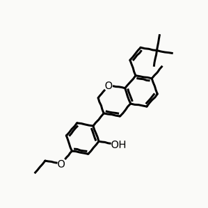 CCOc1ccc(C2=Cc3ccc(C)c(/C=C\C(C)(C)C)c3OC2)c(O)c1